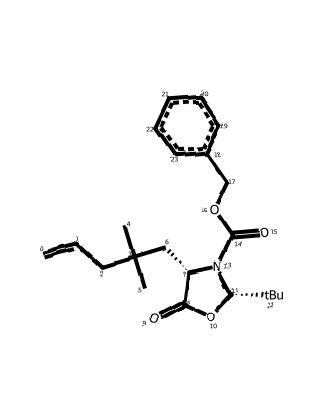 C=CCC(C)(C)C[C@H]1C(=O)O[C@@H](C(C)(C)C)N1C(=O)OCc1ccccc1